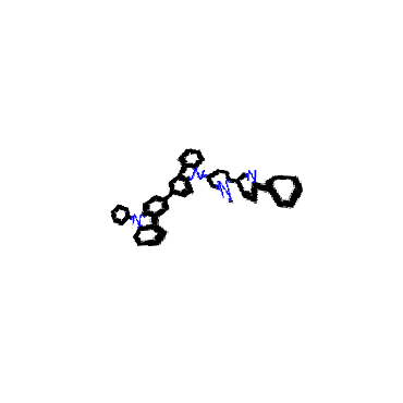 CN1CC(n2c3ccccc3c3cc(-c4ccc5c(c4)c4ccccc4n5-c4ccccc4)ccc32)=CCC1c1ccc(C2=CC=CCC2)nc1